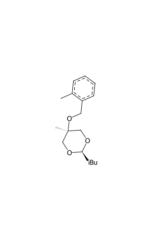 CCC(C)[C@H]1OC[C@@](C)(OCc2ccccc2C)CO1